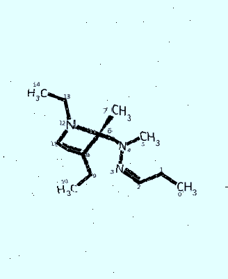 CC/C=N\N(C)[C@]1(C)C(CC)=CN1CC